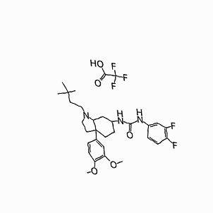 COc1ccc(C23CCC(NC(=O)Nc4ccc(F)c(F)c4)CC2N(CCC(C)(C)C)CC3)cc1OC.O=C(O)C(F)(F)F